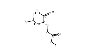 CCC(=O)CC[C@H](NC(C)C)C(=O)O